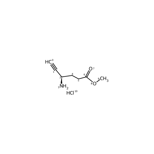 C#C[C@H](N)CCC(=O)OC.Cl